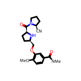 CNC(=O)c1ccc(OC)c(OC[C@H]2CC[C@@H](C(=O)N3CCC[C@H]3C#N)N2)c1